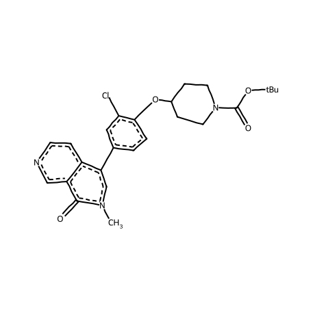 Cn1cc(-c2ccc(OC3CCN(C(=O)OC(C)(C)C)CC3)c(Cl)c2)c2ccncc2c1=O